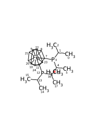 CC(C)P(C(C)C)[C]12[CH]3[CH]4[CH]5[C]1(P(C(C)C)C(C)C)[Fe]43521678[CH]2[CH]1[CH]6[CH]7[CH]28